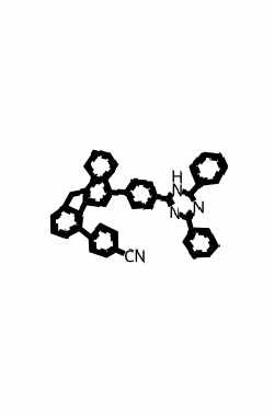 N#Cc1ccc(-c2cccc3c2-c2cc(-c4ccc(C5=NC(c6ccccc6)=NC(c6ccccc6)N5)cc4)c4ccccc4c2C3)cc1